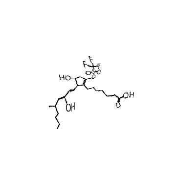 CCCC[C@@H](C)C[C@H](O)C=C[C@@H]1C(CCCCCCC(=O)O)=C(OS(=O)(=O)C(F)(F)F)C[C@H]1O